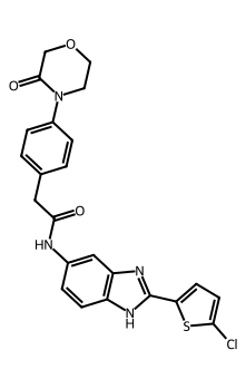 O=C(Cc1ccc(N2CCOCC2=O)cc1)Nc1ccc2[nH]c(-c3ccc(Cl)s3)nc2c1